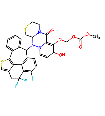 COC(=O)OCOC1=C2C(=O)N3CCSCC3N(C3c4ccccc4-c4scc5c4-c4c3ccc(F)c4C(F)(F)C5)N2C=CC1O